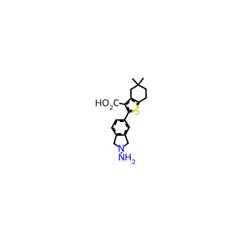 CC1(C)CCc2sc(-c3ccc4c(c3)CN(N)C4)c(C(=O)O)c2C1